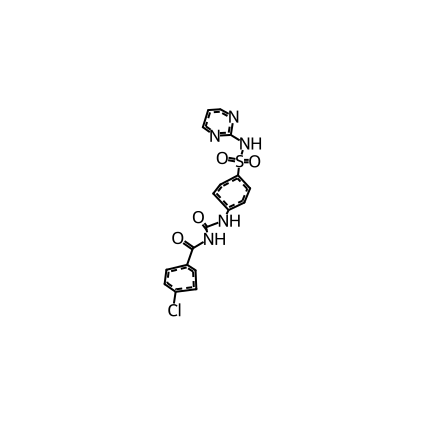 O=C(NC(=O)c1ccc(Cl)cc1)Nc1ccc(S(=O)(=O)Nc2ncccn2)cc1